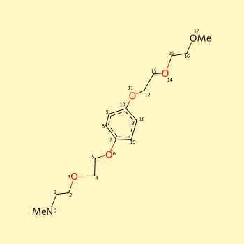 CNCCOCCOc1ccc(OCCOCCOC)cc1